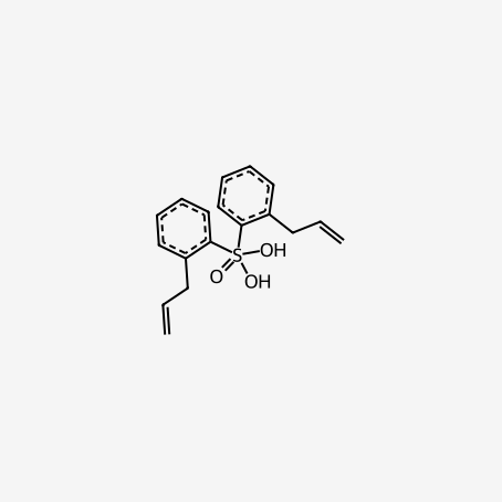 C=CCc1ccccc1S(=O)(O)(O)c1ccccc1CC=C